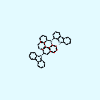 c1ccc(-c2ccccc2N(c2ccccc2-c2cc(-n3c4ccccc4c4ccccc43)cc3ccccc23)c2cccc3c2sc2ccccc23)cc1